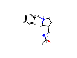 CC(=O)NCC1CCN(Cc2ccccc2)C1